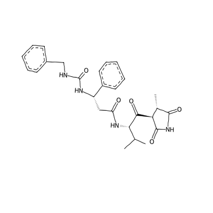 CC(C)[C@H](NC(=O)C[C@H](NC(=O)NCc1ccccc1)c1ccccc1)C(=O)[C@@H]1C(=O)NC(=O)[C@H]1C